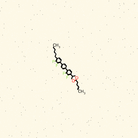 C/C=C/CCC1OCC(c2ccc(-c3ccc(-c4ccc(CCCCCC)c(F)c4F)cc3)c(F)c2F)CO1